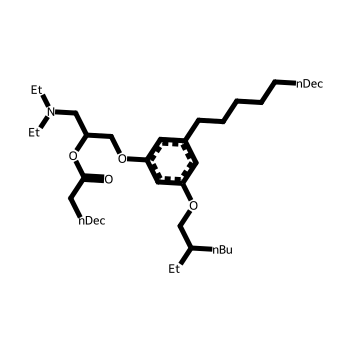 CCCCCCCCCCCCCCCc1cc(OCC(CC)CCCC)cc(OCC(CN(CC)CC)OC(=O)CCCCCCCCCCC)c1